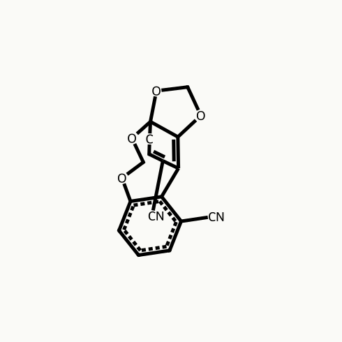 N#CC1=CCC23OCOC2=C1c1c(C#N)cccc1OCO3